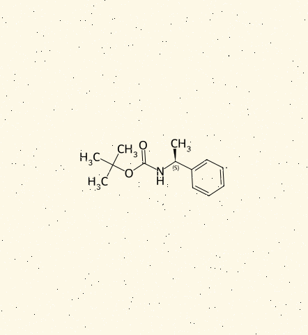 C[C@H](NC(=O)OC(C)(C)C)c1c[c]ccc1